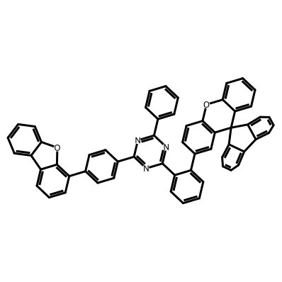 c1ccc(-c2nc(-c3ccc(-c4cccc5c4oc4ccccc45)cc3)nc(-c3ccccc3-c3ccc4c(c3)C3(c5ccccc5O4)c4ccccc4-c4ccccc43)n2)cc1